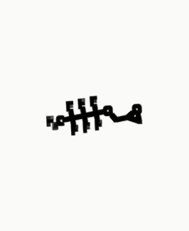 FC(F)(F)C(F)(F)C(F)(F)C(F)(F)OCC1CO1